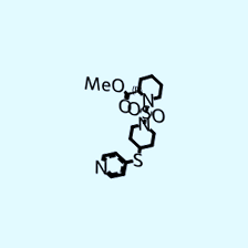 COC(=O)[C@H]1CCCCN1S(=O)(=O)N1CCC(Sc2ccncc2)CC1